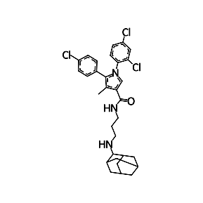 Cc1c(C(=O)NCCCNC2C3CC4CC(C3)CC2C4)cn(-c2ccc(Cl)cc2Cl)c1-c1ccc(Cl)cc1